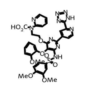 COc1ccc(S(=O)(=O)Nc2nc(-c3ccnc(-c4nnn[nH]4)c3)nc(OCCN(C(=O)O)c3ccccn3)c2Oc2ccccc2OC)cc1OC